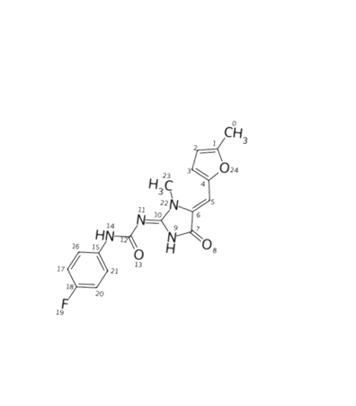 Cc1ccc(/C=C2/C(=O)N/C(=N\C(=O)Nc3ccc(F)cc3)N2C)o1